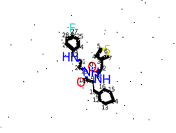 O=C(Cc1ccsc1)N[C@@H](CC1CCCCC1)C(=O)NCCNc1ccc(F)cc1